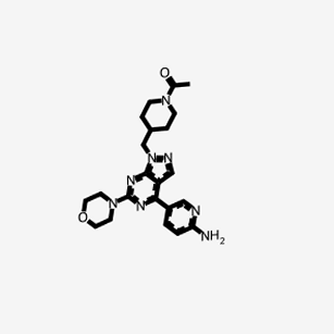 CC(=O)N1CCC(Cn2ncc3c(-c4ccc(N)nc4)nc(N4CCOCC4)nc32)CC1